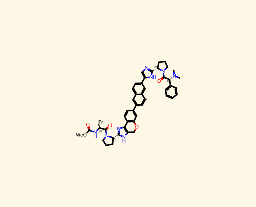 COC(=O)N[C@H](C(=O)N1CCC[C@H]1c1nc2c([nH]1)COc1cc(-c3ccc4cc(-c5cnc([C@@H]6CCCN6C(=O)[C@@H](c6ccccc6)N(C)C)[nH]5)ccc4c3)ccc1-2)C(C)C